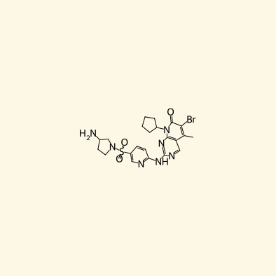 Cc1c(Br)c(=O)n(C2CCCC2)c2nc(Nc3ccc(S(=O)(=O)N4CCC(N)C4)cn3)ncc12